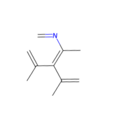 C=NC(C)=C(C(=C)C)C(=C)C